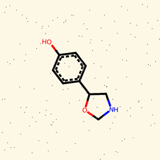 Oc1ccc(C2CNCO2)cc1